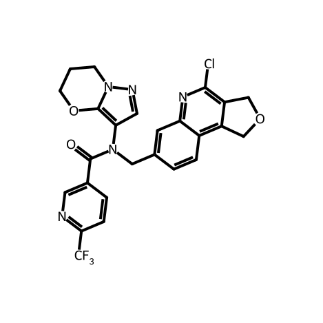 O=C(c1ccc(C(F)(F)F)nc1)N(Cc1ccc2c3c(c(Cl)nc2c1)COC3)c1cnn2c1OCCC2